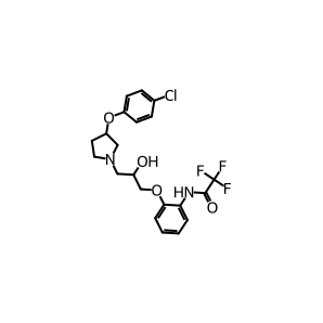 O=C(Nc1ccccc1OCC(O)CN1CCC(Oc2ccc(Cl)cc2)C1)C(F)(F)F